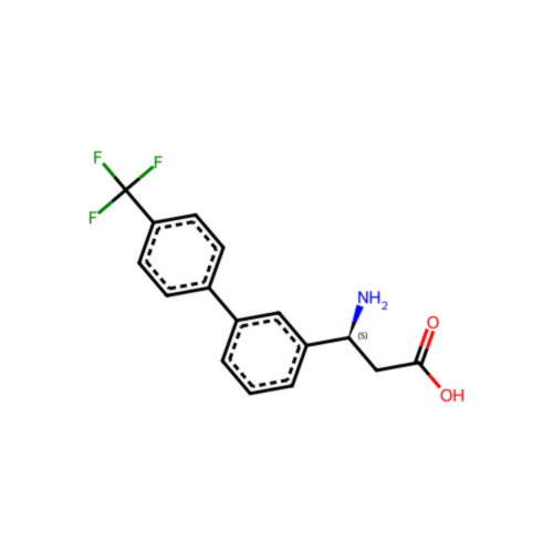 N[C@@H](CC(=O)O)c1cccc(-c2ccc(C(F)(F)F)cc2)c1